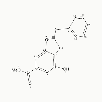 COC(=O)c1cc(O)c2c(c1)OC(Cc1ccccc1)C2